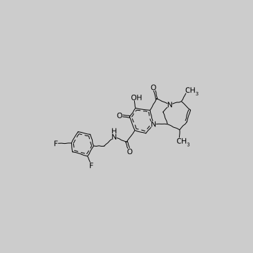 CC1C=CC(C)N2CC1n1cc(C(=O)NCc3ccc(F)cc3F)c(=O)c(O)c1C2=O